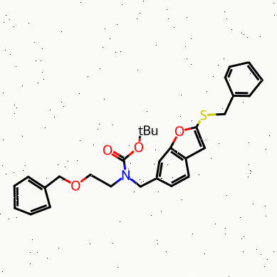 CC(C)(C)OC(=O)N(CCOCc1ccccc1)Cc1ccc2cc(SCc3ccccc3)oc2c1